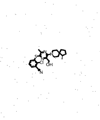 Cc1nc(N2CCC3(CCC[C@H]3C)CC2)c(CO)nc1Sc1cccc(C#N)c1Cl